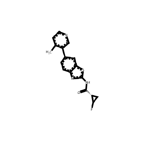 Cc1ccncc1-c1ccc2nc(NC(=O)[C@@H]3CC3F)sc2c1